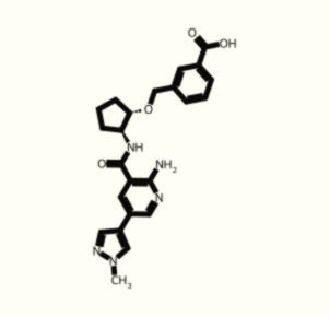 Cn1cc(-c2cnc(N)c(C(=O)N[C@H]3CCC[C@@H]3OCc3cccc(C(=O)O)c3)c2)cn1